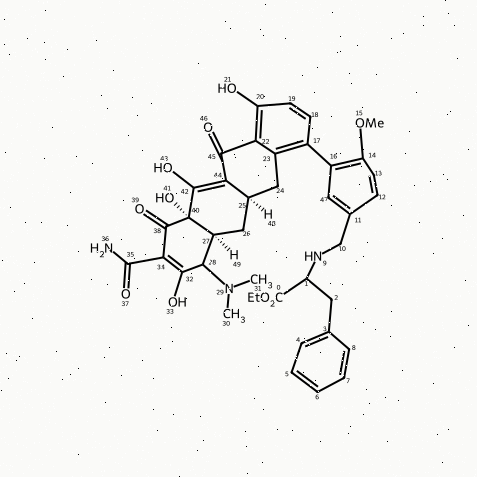 CCOC(=O)C(Cc1ccccc1)NCc1ccc(OC)c(-c2ccc(O)c3c2C[C@H]2C[C@H]4C(N(C)C)C(O)=C(C(N)=O)C(=O)[C@@]4(O)C(O)=C2C3=O)c1